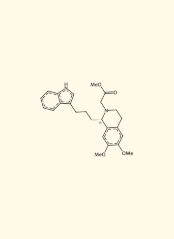 COC(=O)CN1CCc2cc(OC)c(OC)cc2[C@@H]1CCCc1c[nH]c2ccccc12